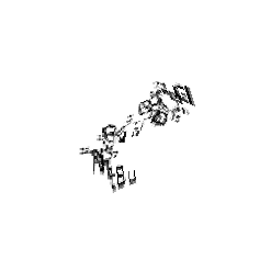 CC(Cc1nc(-c2cc(C(C)(C)C)nn2C)co1)S(=O)(=O)c1ccc(Cl)cc1